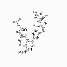 CNc1ncc(-c2nc3ccc(N4C[C@@H]5C[C@H]4CO5)cn3n2)c2cc(NC(=O)C3CC3)ncc12